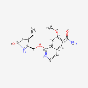 C=C[C@@H]1CC(=O)N[C@@H]1COc1nccc2cc(C(N)=O)c(OC)cc12